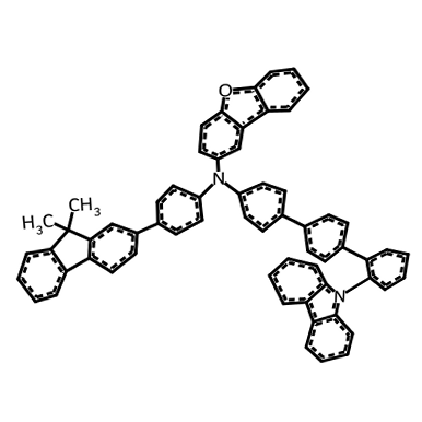 CC1(C)c2ccccc2-c2ccc(-c3ccc(N(c4ccc(-c5ccc(-c6ccccc6-n6c7ccccc7c7ccccc76)cc5)cc4)c4ccc5oc6ccccc6c5c4)cc3)cc21